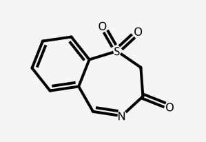 O=C1CS(=O)(=O)c2ccccc2C=N1